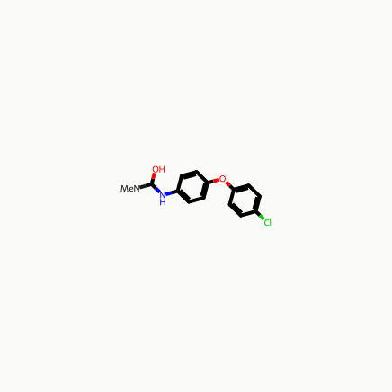 CNC(O)Nc1ccc(Oc2ccc(Cl)cc2)cc1